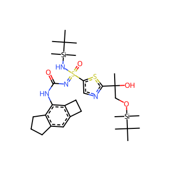 CC(O)(CO[Si](C)(C)C(C)(C)C)c1ncc(S(=O)(=NC(=O)Nc2c3c(cc4c2CC4)CCC3)N[Si](C)(C)C(C)(C)C)s1